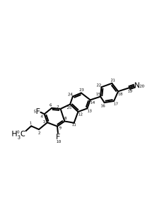 CCCc1c(F)cc2c(c1F)Cc1cc(-c3ccc(C#N)cc3)ccc1-2